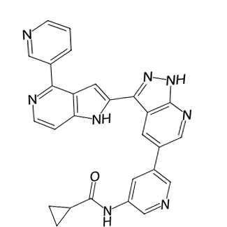 O=C(Nc1cncc(-c2cnc3[nH]nc(-c4cc5c(-c6cccnc6)nccc5[nH]4)c3c2)c1)C1CC1